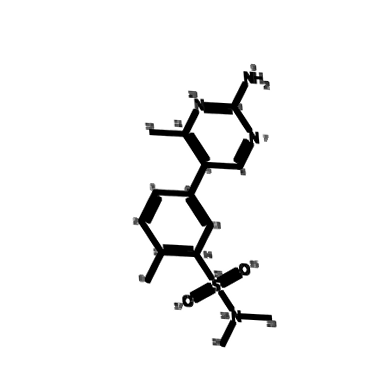 Cc1ccc(-c2cnc(N)nc2C)cc1S(=O)(=O)N(C)C